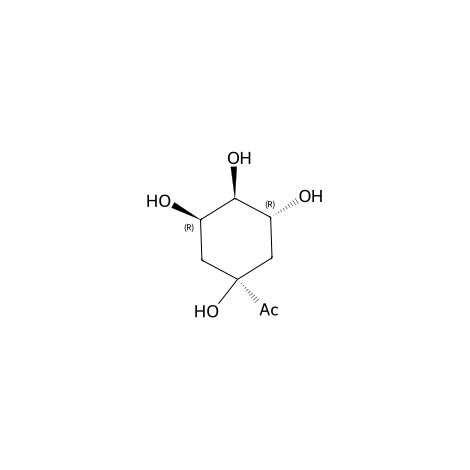 CC(=O)[C@]1(O)C[C@@H](O)[C@@H](O)[C@H](O)C1